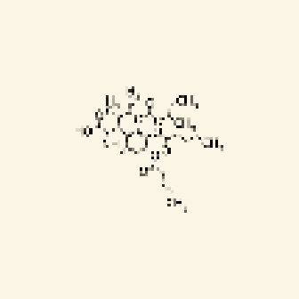 CCCCC(=O)Oc1ccc(C(C(C)C(C)OC(=O)OC(C)CC)[C@H](N)C(=O)O)cc1OC(=O)CCCC